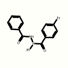 CCc1ccc(C(=O)N(NC(=O)c2ccccc2)C(C)C)cc1